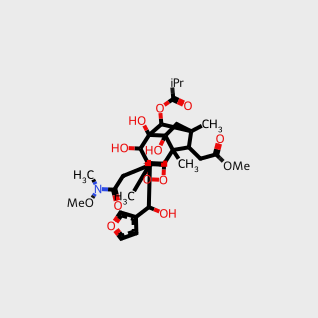 COC(=O)CC1C2(C)CC3(O)C(O)(C2OC(=O)C(C)C)C(O)C24OOC2(CCC(C)(C(O)c2ccoc2)C4CC(=O)N(C)OC)C13C